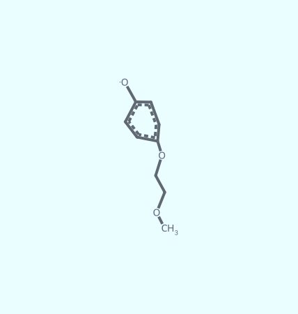 COCCOc1ccc([O])cc1